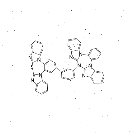 c1cc(-c2ccc3c(c2)n2c(nc4ccccc42)sc2nc4ccccc4n23)cc(-n2c3nc4ccccc4n3c3ccccc3n3c4ccccc4nc23)c1